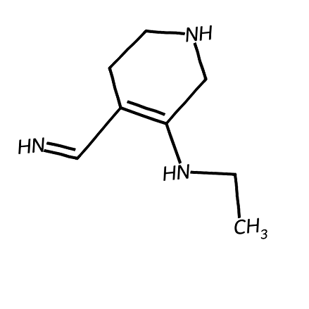 CCNC1=C(C=N)CCNC1